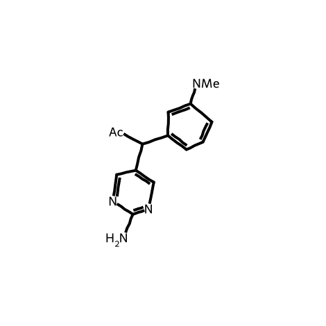 CNc1cccc(C(C(C)=O)c2cnc(N)nc2)c1